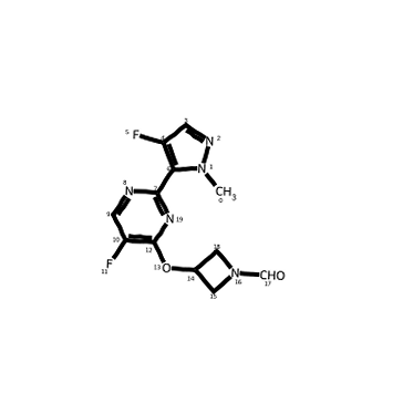 Cn1ncc(F)c1-c1ncc(F)c(OC2CN(C=O)C2)n1